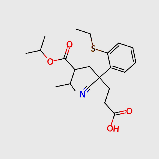 CCSc1ccccc1C(C#N)(CCC(=O)O)CC(C(=O)OC(C)C)C(C)C